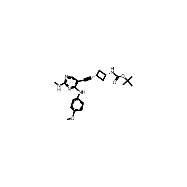 CNc1ncc(C#C[C@H]2C[C@@H](NC(=O)OC(C)(C)C)C2)c(Nc2ccc(OC)cc2)n1